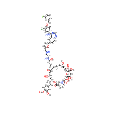 CO[C@H]1C/C(C)=C/[C@@H](CCCC(=O)NCCNCc2ccc(-c3ccc4ncnc(Nc5ccc(OCc6cccc(F)c6)c(Cl)c5)c4c3)o2)C(=O)C[C@H](O)[C@@H](C)[C@@H](/C(C)=C/[C@@H]2CC[C@@H](O)[C@H](OC)C2)OC(=O)[C@@H]2CCCCN2C(=O)C(=O)[C@]2(O)O[C@@H]([C@@H](OC)C[C@H]2C)[C@@H](O)C1